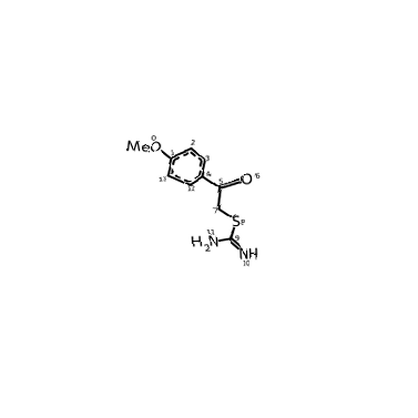 COc1ccc(C(=O)CSC(=N)N)cc1